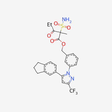 CCC(=O)C(C)(C(=O)OCc1cccc(-n2nc(C(F)(F)F)cc2-c2ccc3c(c2)CCC3)c1)S(N)(=O)=O